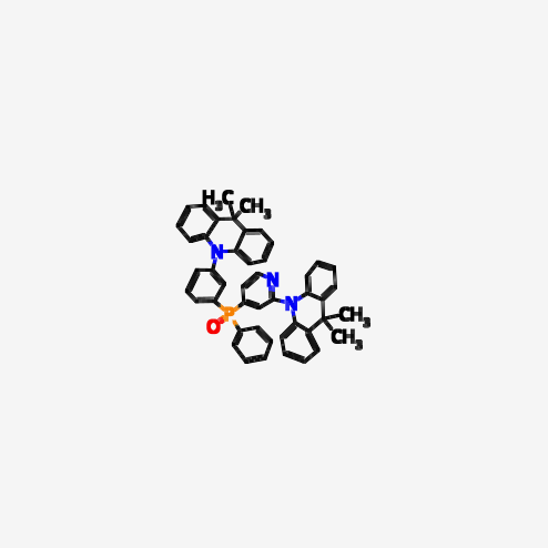 CC1(C)c2ccccc2N(c2cccc(P(=O)(c3ccccc3)c3ccnc(N4c5ccccc5C(C)(C)c5ccccc54)c3)c2)c2ccccc21